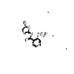 CCC1C[N]C(=NC(=O)c2ccncc2C(=O)O)S1